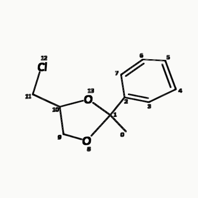 CC1(c2ccccc2)OCC(CCl)O1